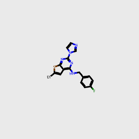 CCc1cc2c(NCc3ccc(F)cc3)nc(-n3ccnc3)nc2s1